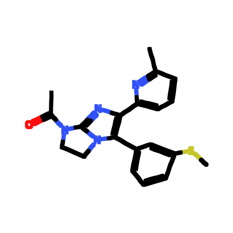 CSc1cccc(-c2c(-c3cccc(C)n3)nc3n2CCN3C(C)=O)c1